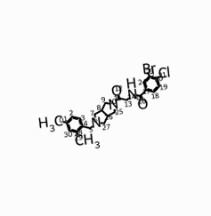 Cc1ccc(CN2CC3CN(C(=O)CNC(=O)c4ccc(Cl)c(Br)c4)CC3C2)c(C)c1